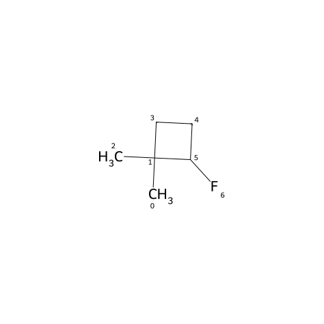 CC1(C)CCC1F